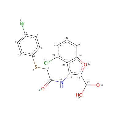 O=C(CSc1ccc(Br)cc1)Nc1c(C(=O)O)oc2cccc(Cl)c12